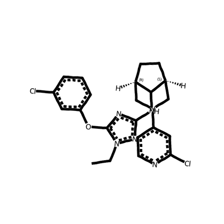 CCn1nc(NC2[C@@H]3CC[C@H]2CN(c2ccnc(Cl)c2)C3)nc1Oc1cccc(Cl)c1